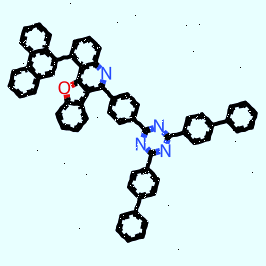 c1ccc(-c2ccc(-c3nc(-c4ccc(-c5ccccc5)cc4)nc(-c4ccc(-c5nc6cccc(-c7cc8ccccc8c8ccccc78)c6c6oc7ccccc7c56)cc4)n3)cc2)cc1